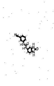 N#Cc1cccc(NC(=O)Nc2ccc3[nH]c(=O)[nH]c3c2)c1